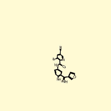 N#Cc1cnc(C(=O)Nc2ccc(N)c(C(=N)c3ccoc3)c2)c(Br)c1